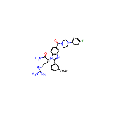 COc1cccc(-c2nc3cc(C(=O)N4CCN(c5ccc(F)cc5)CC4)ccc3n2[C@@H](CCCNC(=N)N)C(N)=O)c1